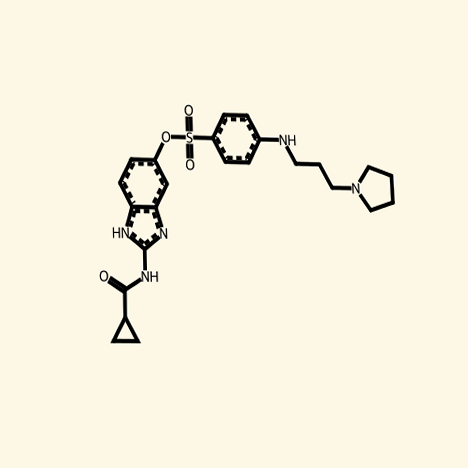 O=C(Nc1nc2cc(OS(=O)(=O)c3ccc(NCCCN4CCCC4)cc3)ccc2[nH]1)C1CC1